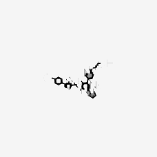 [C-]#[N+]c1c(N2CCCC2)nc(SCc2csc(-c3ccc(Cl)cc3)n2)c(C#N)c1-c1ccc(OCCO)nc1